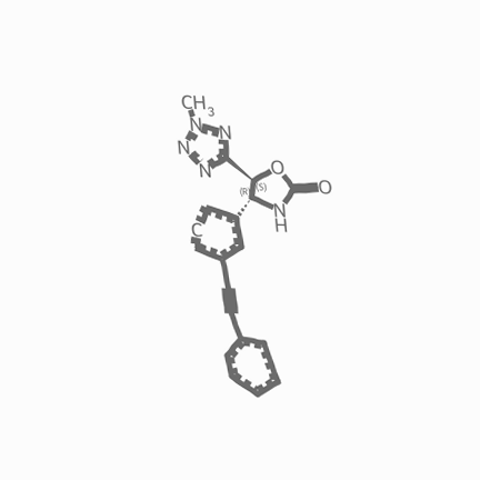 Cn1nnc([C@H]2OC(=O)N[C@@H]2c2cccc(C#Cc3ccccc3)c2)n1